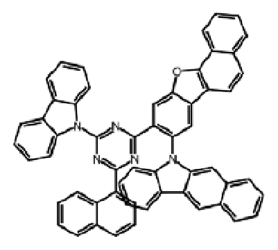 c1ccc2cc3c(cc2c1)c1ccccc1n3-c1cc2c(cc1-c1nc(-c3cccc4ccccc34)nc(-n3c4ccccc4c4ccccc43)n1)oc1c3ccccc3ccc21